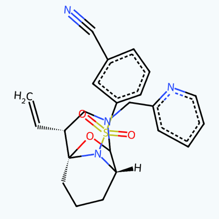 C=C[C@@H]1CN(Cc2ccccn2)C2O[C@]13CCC[C@@H]2N3S(=O)(=O)c1cccc(C#N)c1